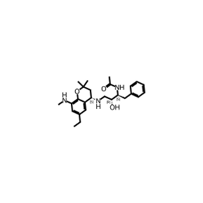 CCc1cc(NC)c2c(c1)[C@@H](NC[C@@H](O)[C@H](Cc1ccccc1)NC(C)=O)CC(C)(C)O2